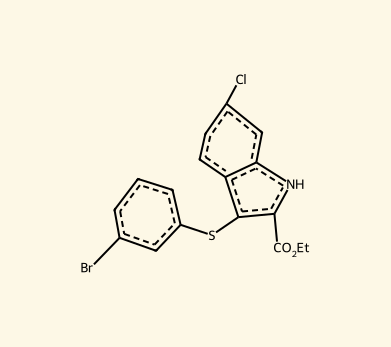 CCOC(=O)c1[nH]c2cc(Cl)ccc2c1Sc1cccc(Br)c1